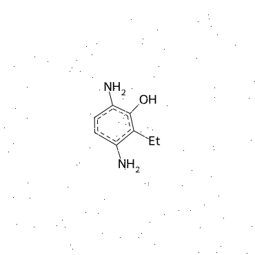 CCc1c(N)ccc(N)c1O